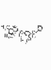 COc1cc(OCc2ccc3c(c2)C(C)(C)CCC3(C)C)ccc1C(=O)OCc1ccccc1